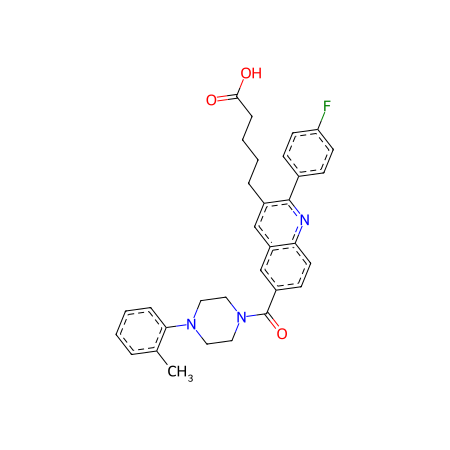 Cc1ccccc1N1CCN(C(=O)c2ccc3nc(-c4ccc(F)cc4)c(CCCCC(=O)O)cc3c2)CC1